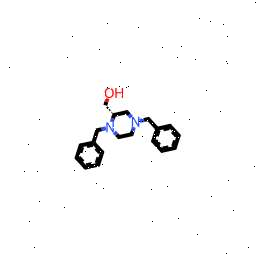 OC[C@@H]1CN(Cc2ccccc2)CCN1Cc1ccccc1